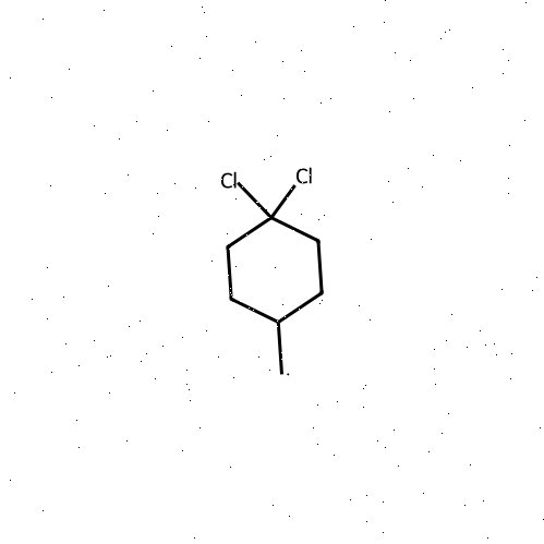 [CH2]C1CCC(Cl)(Cl)CC1